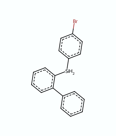 Brc1ccc([SiH2]c2ccccc2-c2ccccc2)cc1